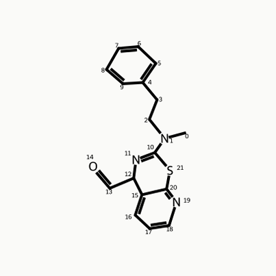 CN(CCc1ccccc1)C1=NC(C=O)c2cccnc2S1